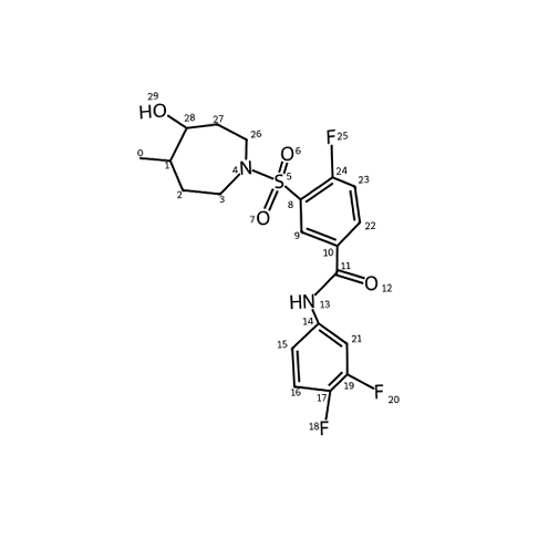 CC1CCN(S(=O)(=O)c2cc(C(=O)Nc3ccc(F)c(F)c3)ccc2F)CCC1O